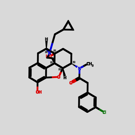 CN(C(=O)Cc1cccc(Cl)c1)[C@H]1CC[C@@]2(O)[C@H]3Cc4ccc(O)c5c4[C@@]2(CCN3CC2CC2)[C@H]1O5